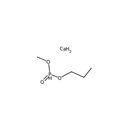 CCCO[PH](=O)OC.[CaH2]